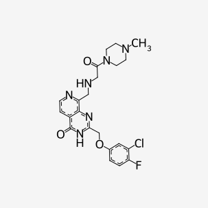 CN1CCN(C(=O)CNCc2nccc3c(=O)[nH]c(COc4ccc(F)c(Cl)c4)nc23)CC1